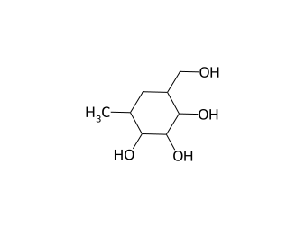 CC1CC(CO)C(O)C(O)C1O